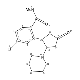 CNC(=O)c1ccc(Cl)cc1C1CC(=O)CC1N1CCCCC1